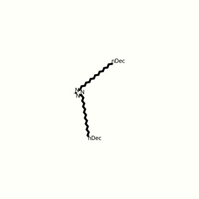 CCCCCCCCCCCCCCCCCCCCCCCCc1n[c]nc(CCCCCCCCCCCCCCCCCCCCCCCC)n1